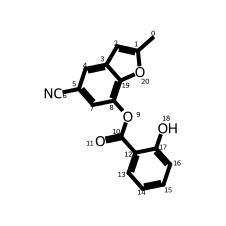 Cc1cc2cc(C#N)cc(OC(=O)c3ccccc3O)c2o1